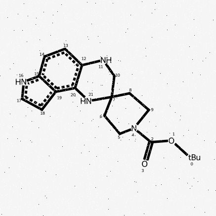 CC(C)(C)OC(=O)N1CCC2(CC1)CNc1ccc3[nH]ccc3c1N2